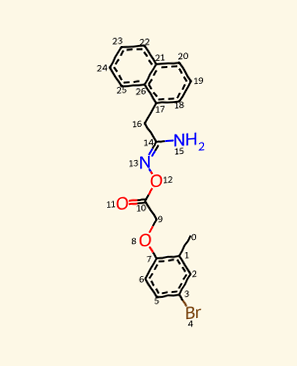 Cc1cc(Br)ccc1OCC(=O)O/N=C(\N)Cc1cccc2ccccc12